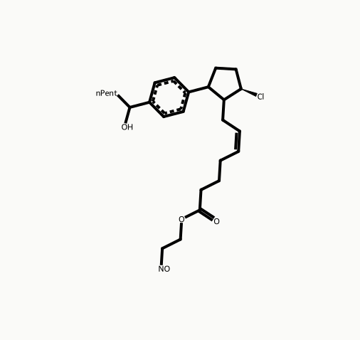 CCCCCC(O)c1ccc(C2CC[C@@H](Cl)C2C/C=C\CCCC(=O)OCCN=O)cc1